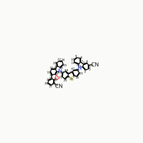 N#Cc1ccc2c(c1)c1ccccc1n2-c1ccc2sc3ccc(-n4c5ccccc5c5ccc6c7cccc(C#N)c7oc6c54)cc3c2c1